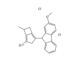 COc1ccc2c(c1)C(C1=C3CC(C)C3=[C]([Zr+2])C1)c1ccccc1-2.[Cl-].[Cl-]